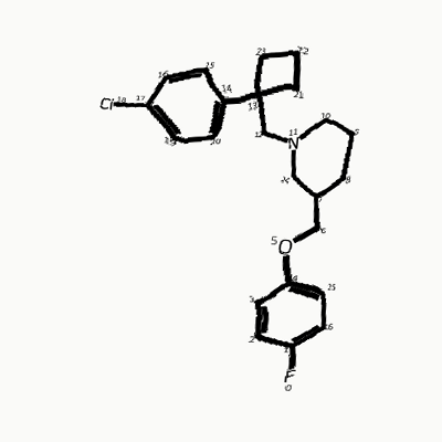 Fc1ccc(OCC2CCCN(CC3(c4ccc(Cl)cc4)CCC3)C2)cc1